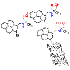 CCc1cc(CNC(C)(CO)CO)c2ccc3cccc4ccc1c2c43.CCc1cc(CNC(C)(CO)CO)c2ccc3cccc4ccc1c2c43.CCc1cc(CNC(C)(CO)CO)c2ccc3cccc4ccc1c2c43.CS(=O)(=O)O.CS(=O)(=O)O.CS(=O)(=O)O.CS(=O)(=O)O.CS(=O)(=O)O.CS(=O)(=O)O.CS(=O)(=O)O.CS(=O)(=O)O.CS(=O)(=O)O.CS(=O)(=O)O